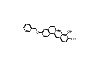 Oc1ccc2cc3[n+](cc2c1O)CCc1cc(OCc2ccccc2)ccc1-3